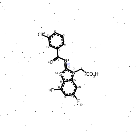 O=C(O)Cn1/c(=N/C(=O)c2cccc(Cl)c2)sc2c(F)cc(F)cc21